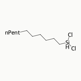 CCCCCCCCCCC[SiH](Cl)Cl